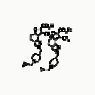 CCOC(=O)c1oc2c(c1C(F)(F)F)-c1nn(CC3CCN(CC4CC4)CC3)cc1CC2.O=C(O)c1oc2c(c1C(F)(F)F)-c1nn(CC3CCN(CC4CC4)CC3)cc1CC2